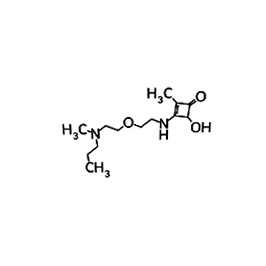 CCCN(C)CCOCCNC1=C(C)C(=O)C1O